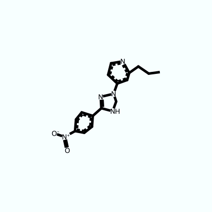 CCCc1cc(N2CNC(c3ccc([N+](=O)[O-])cc3)=N2)ccn1